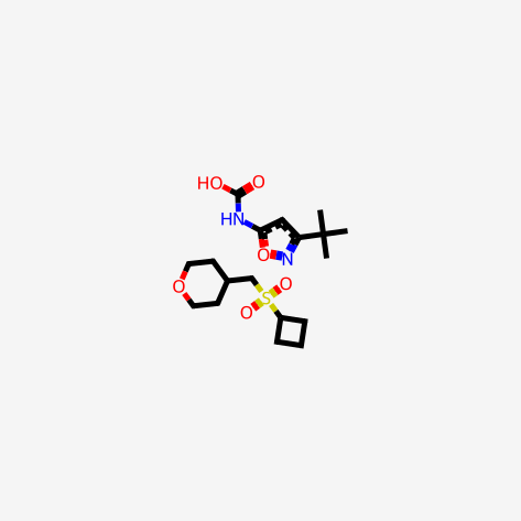 CC(C)(C)c1cc(NC(=O)O)on1.O=S(=O)(CC1CCOCC1)C1CCC1